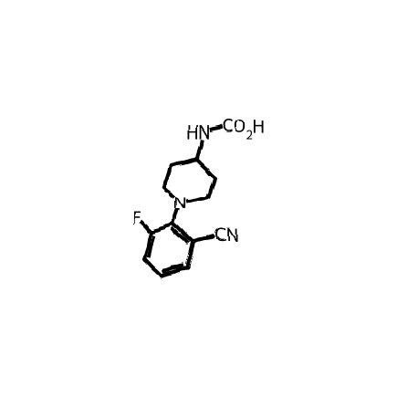 N#Cc1cccc(F)c1N1CCC(NC(=O)O)CC1